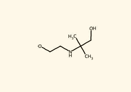 CC(C)(CO)NCC[O]